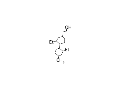 CCC1CC(C)CCC1C1CCC(CCO)CC1CC